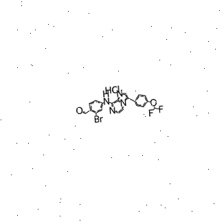 Cl.O=Cc1ccc(Nc2nccn3c(-c4ccc(OC(F)F)cc4)cnc23)cc1Br